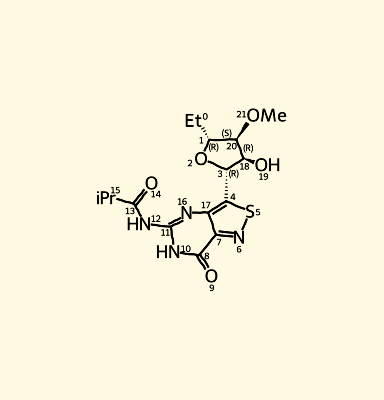 CC[C@H]1O[C@@H](c2snc3c(=O)[nH]c(NC(=O)C(C)C)nc23)[C@H](O)[C@@H]1OC